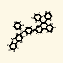 c1ccc(-c2c(-c3ccccc3)c3cc(-c4ccc(N(c5ccccc5)c5ccc6c(c5)sc5ccccc56)cc4)ccc3c3ccccc23)cc1